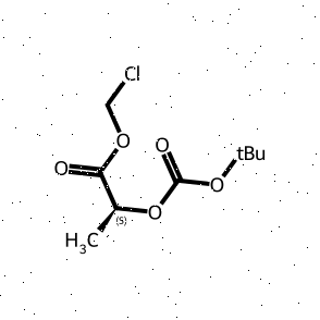 C[C@H](OC(=O)OC(C)(C)C)C(=O)OCCl